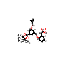 CC1(C)OB(c2cc(COc3ccccc3CC(=O)O)cc(OCC3CC3)c2)OC1(C)C